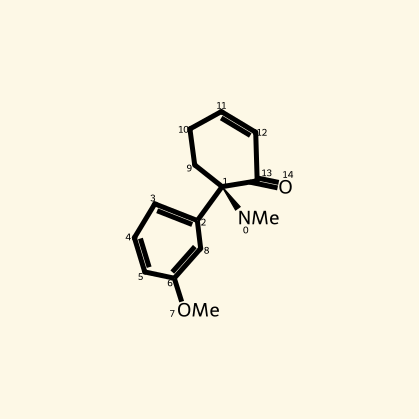 CN[C@@]1(c2cccc(OC)c2)CCC=CC1=O